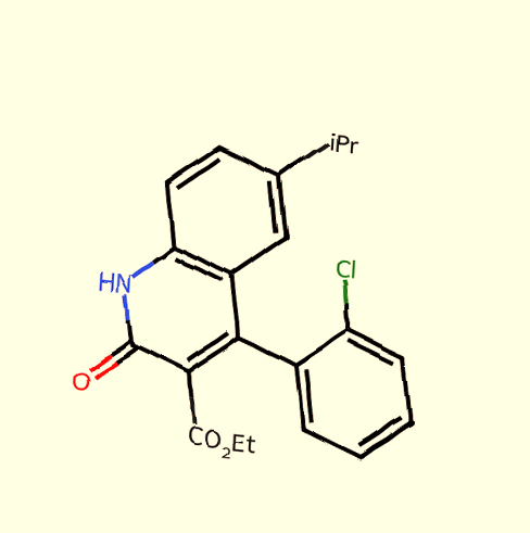 CCOC(=O)c1c(-c2ccccc2Cl)c2cc(C(C)C)ccc2[nH]c1=O